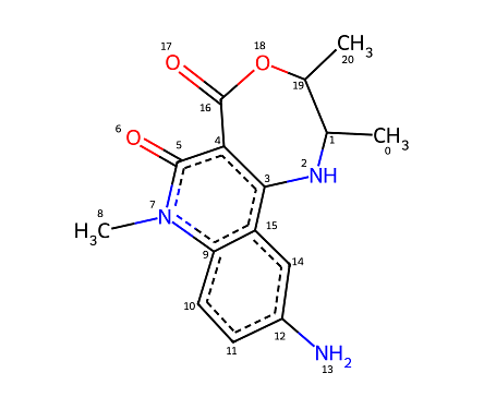 CC1Nc2c(c(=O)n(C)c3ccc(N)cc23)C(=O)OC1C